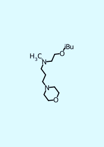 CCC(C)OCCN(C)CCCN1CCOCC1